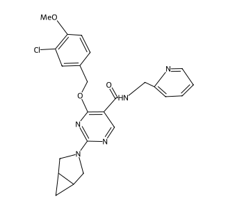 COc1ccc(COc2nc(N3CC4CC4C3)ncc2C(=O)NCc2ccccn2)cc1Cl